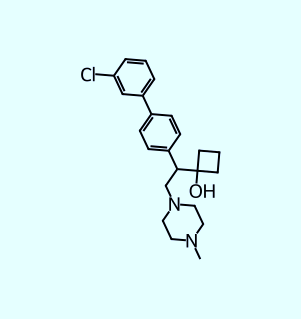 CN1CCN(CC(c2ccc(-c3cccc(Cl)c3)cc2)C2(O)CCC2)CC1